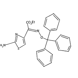 CCOC(=O)C(=NOC(c1ccccc1)(c1ccccc1)c1ccccc1)c1csc(N)n1